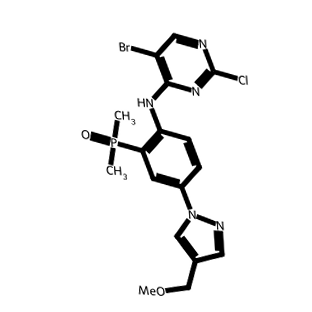 COCc1cnn(-c2ccc(Nc3nc(Cl)ncc3Br)c(P(C)(C)=O)c2)c1